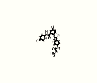 CNCC(=O)N(C)c1ccc(C(=O)Nc2ccc(Cl)cc2C(=O)Nc2ccc(Cl)cn2)cc1